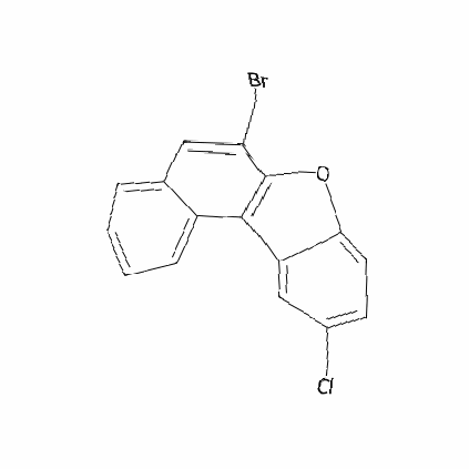 Clc1ccc2oc3c(Br)cc4ccccc4c3c2c1